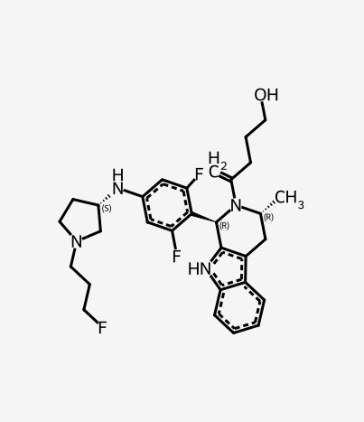 C=C(CCCO)N1[C@H](c2c(F)cc(N[C@H]3CCN(CCCF)C3)cc2F)c2[nH]c3ccccc3c2C[C@H]1C